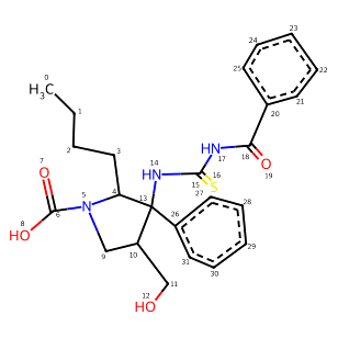 CCCCC1N(C(=O)O)CC(CO)C1(NC(=S)NC(=O)c1ccccc1)c1ccccc1